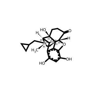 C[N@+]1(CC2CC2)CC[C@@]23c4c5c(O)cc(O)c4C(O)[C@@H]1[C@]2(O)CCC(=O)[C@@H]3O5